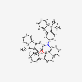 CC1(C)c2ccccc2-c2cc(N(c3ccc4c(c3)-c3ccccc3C4(C)C)c3cccc4ccc5c6ccccc6oc5c34)ccc21